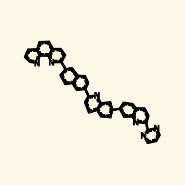 c1cnc(-c2ccc3ccc(-c4ccc5ccc(-c6ccc7cc(-c8ccc9ccc%10cccnc%10c9n8)ccc7c6)nc5c4)cc3n2)nc1